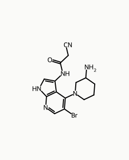 N#CCC(=O)Nc1c[nH]c2ncc(Br)c(N3CCCC(N)C3)c12